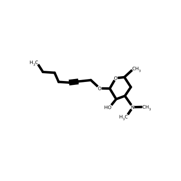 CCCCC#CCOC1OC(C)CC(N(C)C)C1O